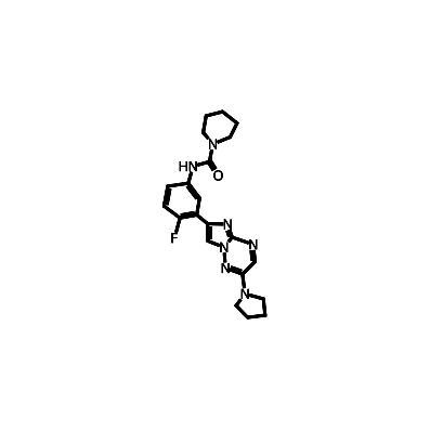 O=C(Nc1ccc(F)c(-c2cn3nc(N4CCCC4)cnc3n2)c1)N1CCCCC1